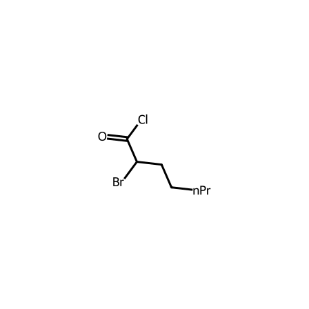 CCCCCC(Br)C(=O)Cl